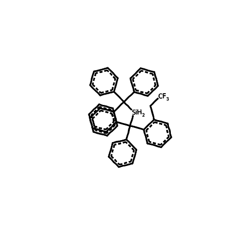 FC(F)(F)Cc1ccccc1C([SiH2]C(c1ccccc1)(c1ccccc1)c1ccccc1)(c1ccccc1)c1ccccc1